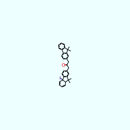 CC1(C)c2ccccc2-c2ccc(CC(=O)Cc3ccc4c(c3)C(C)(C)C3C=CC=CC43I)cc21